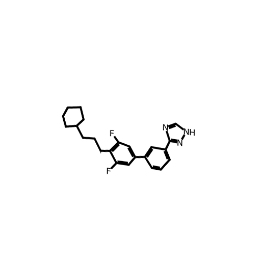 Fc1cc(-c2cccc(-c3nc[nH]n3)c2)cc(F)c1[CH]CCC1CCCCC1